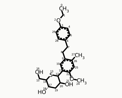 CCOc1ccc(CCc2cc(C3SC(CO)[C@@H](O)CC3O)c(OC)cc2C)cc1